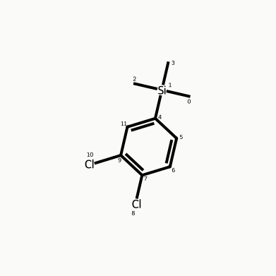 C[Si](C)(C)c1ccc(Cl)c(Cl)c1